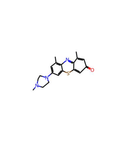 Cc1cc(=O)cc2sc3cc(N4CCN(C)CC4)cc(C)c3nc1-2